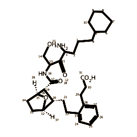 NC(CCCC1CCCCC1)C(=O)C(CO)NC(=O)[C@@H]1[C@H](CCc2ccccc2CCC(=O)O)[C@H]2CC[C@@H]1O2